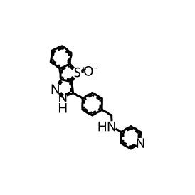 [O-][s+]1c2ccccc2c2n[nH]c(-c3ccc(CNc4ccncc4)cc3)c21